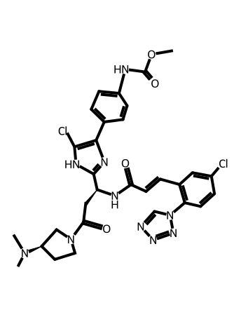 COC(=O)Nc1ccc(-c2nc([C@H](CC(=O)N3CC[C@@H](N(C)C)C3)NC(=O)C=Cc3cc(Cl)ccc3-n3cnnn3)[nH]c2Cl)cc1